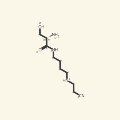 N#CCCNCCCCNC(=O)[C@@H](N)CO